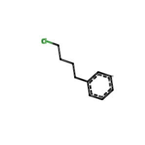 ClCCCCc1c[c]ccc1